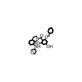 O=C(c1c(O)cc(O)cc1OCc1ccccc1)N1CCc2cccc(N[C@H]3CCOC3)c2C1